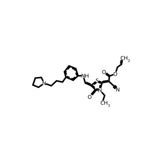 C=CCOC(=O)C(C#N)=c1sc(=CNc2cccc(CCCN3CCCC3)c2)c(=O)n1CC